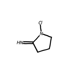 N=C1CCCN1Cl